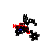 CCC(C)OC(=O)C(CC(=O)OCc1ccccc1)(C(=O)O)n1cccc1